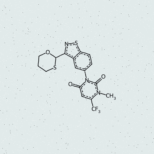 Cn1c(C(F)(F)F)cc(=O)n(-c2ccc3snc(C4OCCCS4)c3c2)c1=O